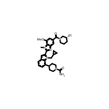 CC[C@@H]1CCCN(C(=O)c2cc(OC)c3c(c2)nc(-c2cc4cccc(C5CCN(C(N)=O)CC5)c4n2CC2CC2)n3C)C1